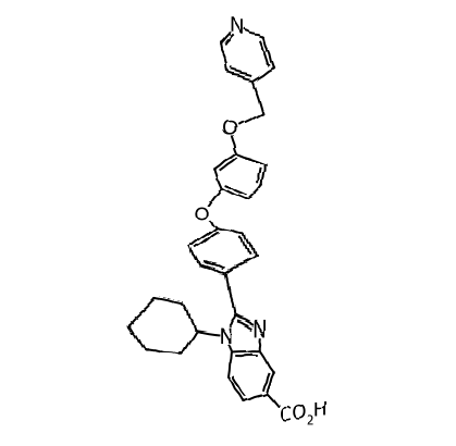 O=C(O)c1ccc2c(c1)nc(-c1ccc(Oc3cccc(OCc4ccncc4)c3)cc1)n2C1CCCCC1